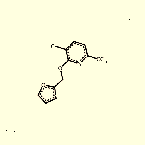 Clc1ccc(C(Cl)(Cl)Cl)nc1OCc1ccco1